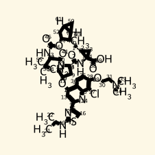 CC[C@@H]1C[C@]1(NC(=O)[C@@H]1C[C@@H](Oc2cc(-c3csc(NC(C)C)n3)nc3c(Cl)c(OCCN(C)C)ccc23)CN1C(=O)[C@@H](NC(=O)O[C@@H]1C[C@@H]2C[C@@H]2C1)C(C)(C)C)C(=O)O